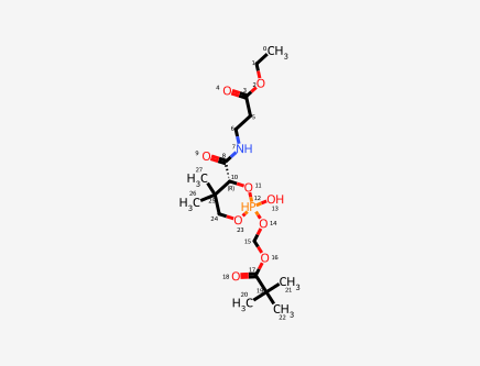 CCOC(=O)CCNC(=O)[C@@H]1O[PH](O)(OCOC(=O)C(C)(C)C)OCC1(C)C